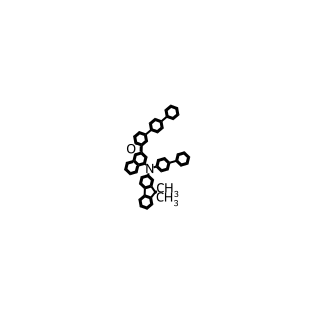 CC1(C)c2ccccc2-c2ccc(N(c3ccc(-c4ccccc4)cc3)c3cc4c5cc(-c6ccc(-c7ccccc7)cc6)ccc5oc4c4ccccc34)cc21